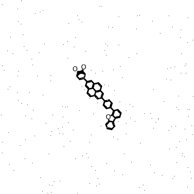 O=C1C(=O)C2C=CC1C=C2c1cc2ccc3cc(-c4ccc(-c5cccc6c5oc5ccccc56)cc4)cc4ccc(c1)c2c34